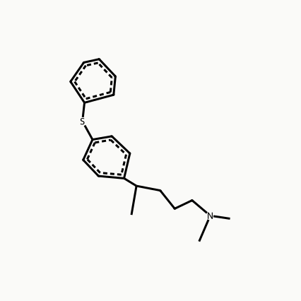 CC(CCCN(C)C)c1ccc(Sc2ccccc2)cc1